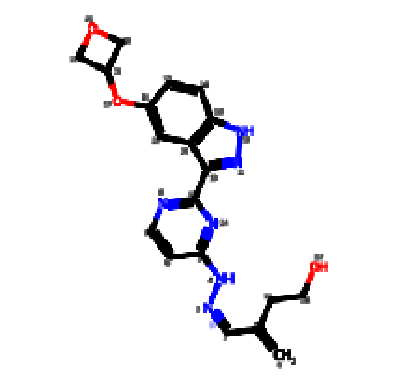 C=C(/C=N\Nc1ccnc(-c2n[nH]c3ccc(OC4COC4)cc23)n1)CCO